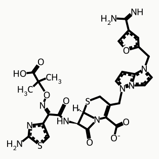 CC(C)(O/N=C(\C(=O)N[C@@H]1C(=O)N2C(C(=O)[O-])=C(C[n+]3ccc4n(Cc5cc(C(=N)N)co5)ccn43)CS[C@H]12)c1csc(N)n1)C(=O)O